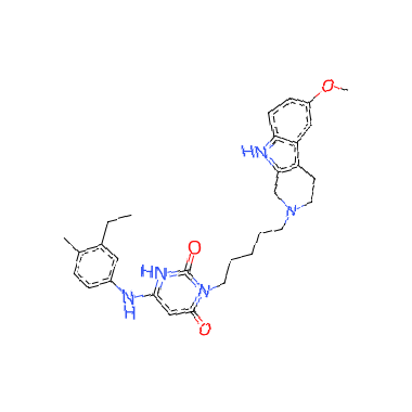 CCc1cc(Nc2cc(=O)n(CCCCCN3CCc4c([nH]c5ccc(OC)cc45)C3)c(=O)[nH]2)ccc1C